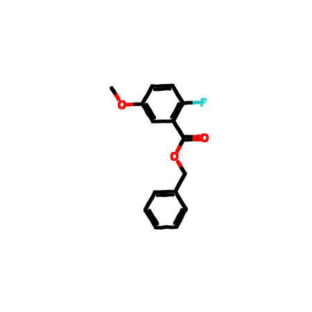 COc1ccc(F)c(C(=O)OCc2ccccc2)c1